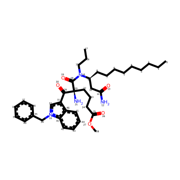 CCCCCCCCC[C@@H](CC(N)=O)N(CCC)C(=O)[C@](N)(CCCC(=O)OC)C(=O)c1cn(Cc2ccccc2)c2ccccc12